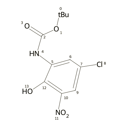 CC(C)(C)OC(=O)Nc1cc(Cl)cc([N+](=O)[O-])c1O